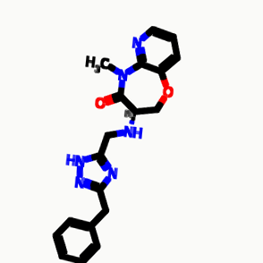 CN1C(=O)[C@@H](NCc2nc(Cc3ccccc3)n[nH]2)COc2cccnc21